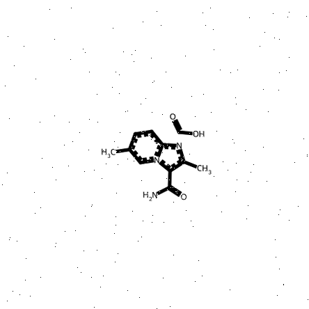 Cc1ccc2nc(C)c(C(N)=O)n2c1.O=CO